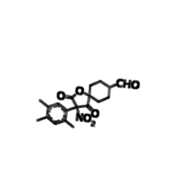 Cc1cc(C)c(C2([N+](=O)[O-])C(=O)OC3(CCC(C=O)CC3)C2=O)cc1C